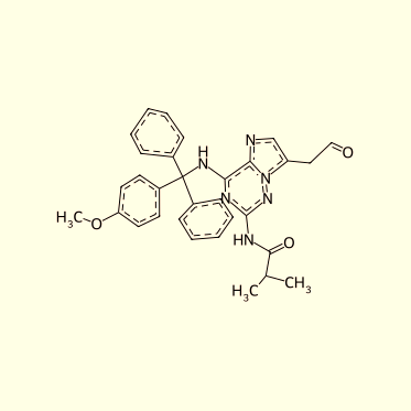 COc1ccc(C(Nc2nc(NC(=O)C(C)C)nn3c(CC=O)cnc23)(c2ccccc2)c2ccccc2)cc1